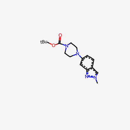 Cn1cc2ccc(N3CCN(C(=O)OC(C)(C)C)CC3)cc2n1